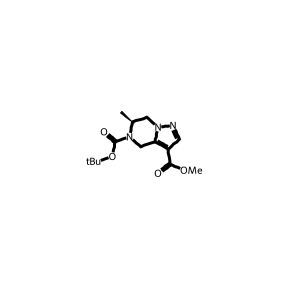 COC(=O)c1cnn2c1CN(C(=O)OC(C)(C)C)[C@@H](C)C2